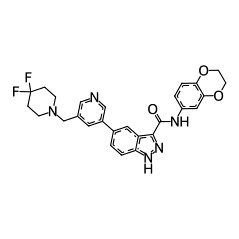 O=C(Nc1ccc2c(c1)OCCO2)c1n[nH]c2ccc(-c3cncc(CN4CCC(F)(F)CC4)c3)cc12